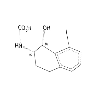 O=C(O)N[C@H]1CCc2cccc(I)c2[C@H]1O